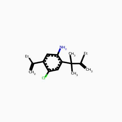 C=C(CC)c1cc(N)c(C(C)(C)C(=C)CC)cc1Cl